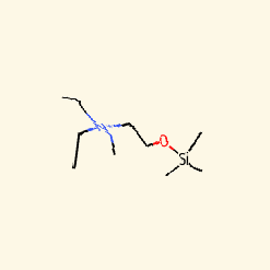 CC[N+](C)(CC)CCO[Si](C)(C)C